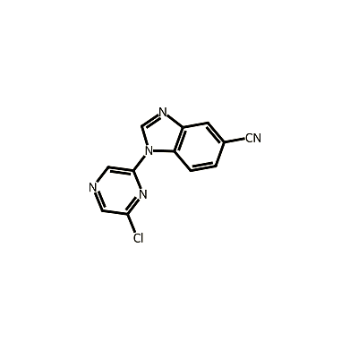 N#Cc1ccc2c(c1)ncn2-c1cncc(Cl)n1